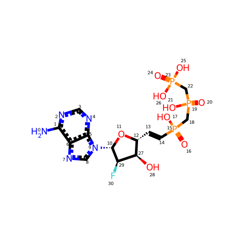 Nc1ncnc2c1ncn2[C@@H]1O[C@H](/C=C/P(=O)(O)CP(=O)(O)CP(=O)(O)O)[C@@H](O)[C@H]1F